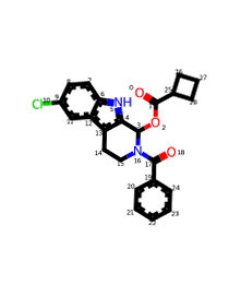 O=C(OC1c2[nH]c3ccc(Cl)cc3c2CCN1C(=O)c1ccccc1)C1CCC1